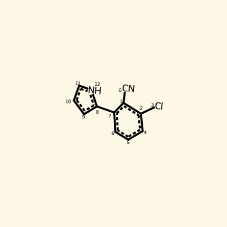 N#Cc1c(Cl)cccc1-c1ccc[nH]1